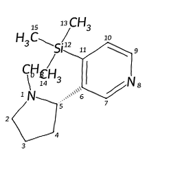 CN1CCC[C@H]1c1cnccc1[Si](C)(C)C